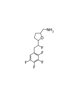 NCC1CCC(C(F)Cc2cc(F)c(F)c(F)c2F)O1